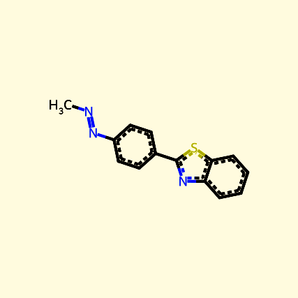 CN=Nc1ccc(-c2nc3ccccc3s2)cc1